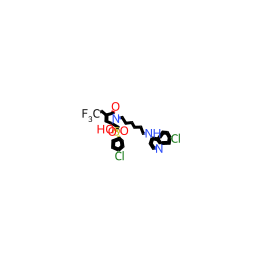 O=C1C(CC(F)(F)F)=CC(O)(CS(=O)(=O)c2ccc(Cl)cc2)N1CCCCCCNc1ccnc2cc(Cl)ccc12